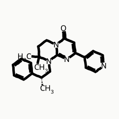 C[C@@H](CN1c2nc(-c3ccncc3)cc(=O)n2CCC1(C)C)c1ccccc1